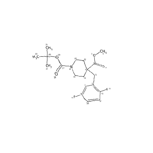 COC(=O)C1(Cc2cc(F)ccc2F)CCN(C(=O)OC(C)(C)C)CC1